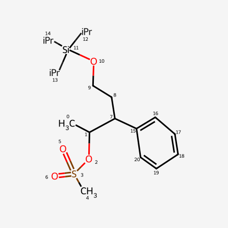 CC(OS(C)(=O)=O)C(CCO[Si](C(C)C)(C(C)C)C(C)C)c1ccccc1